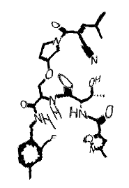 Cc1ccc(CNC(=O)C(COC2CCN(C(=O)C(C#N)=CC(C)C)C2)NC(=O)[C@@H](NC(=O)c2cc(C)no2)[C@@H](C)O)c(F)c1